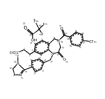 CCOC(=O)CCc1ccc2c(c1)N(Cc1ccc(C3=NCCN3C)cc1)C(=O)CN(C(=O)c1ccc(Cl)cc1)C2.O=C(O)C(F)(F)F